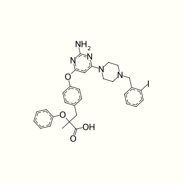 CC(Cc1ccc(Oc2cc(N3CCN(Cc4ccccc4I)CC3)nc(N)n2)cc1)(Oc1ccccc1)C(=O)O